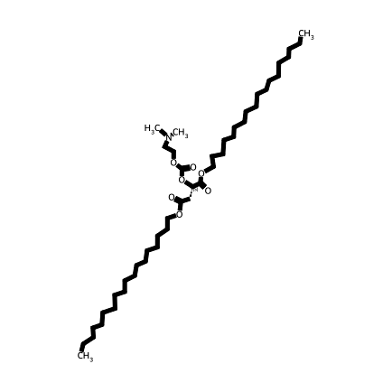 CCCCCCCCCCCCCCCCCCOC(=O)C[C@H](OC(=O)OCCN(C)C)C(=O)OCCCCCCCCCCCCCCCCCC